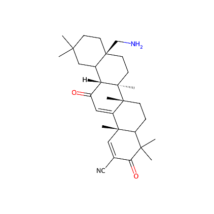 CC1(C)CC[C@]2(CN)CC[C@]3(C)[C@H](C(=O)C=C4[C@@]5(C)C=C(C#N)C(=O)C(C)(C)C5CC[C@]43C)C2C1